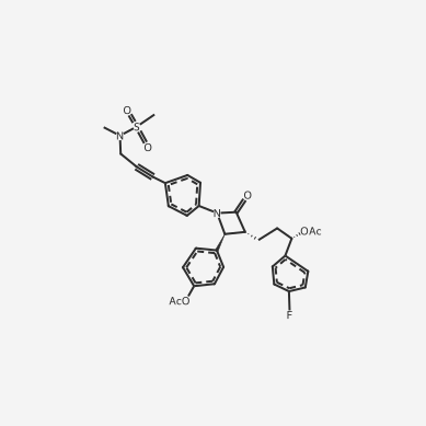 CC(=O)Oc1ccc([C@@H]2[C@@H](CC[C@H](OC(C)=O)c3ccc(F)cc3)C(=O)N2c2ccc(C#CCN(C)S(C)(=O)=O)cc2)cc1